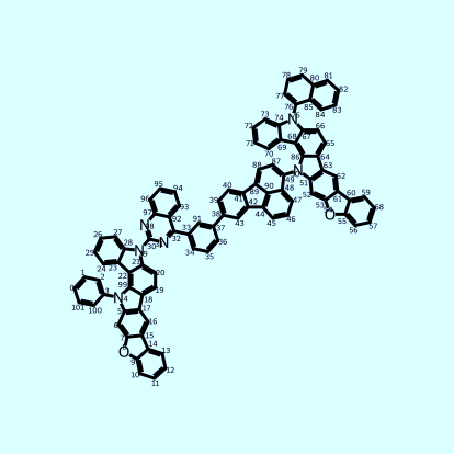 c1ccc(-n2c3cc4oc5ccccc5c4cc3c3ccc4c(c5ccccc5n4-c4nc(-c5cccc(-c6ccc7c(c6)-c6cccc8c(-n9c%10cc%11oc%12ccccc%12c%11cc%10c%10ccc%11c(c%12ccccc%12n%11-c%11cccc%12ccccc%11%12)c%109)ccc-7c68)c5)c5ccccc5n4)c32)cc1